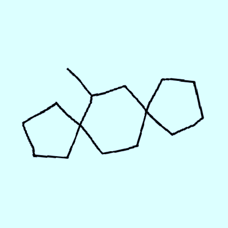 CC1CC2(CCCC2)CCC12CCCC2